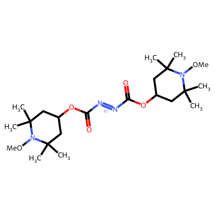 CON1C(C)(C)CC(OC(=O)/N=N/C(=O)OC2CC(C)(C)N(OC)C(C)(C)C2)CC1(C)C